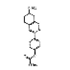 CCCCCCC(=O)Oc1ccc(-c2ncc3c(n2)CCC(CCCCCC)C3)cc1